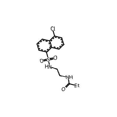 CCC(=O)NCCNS(=O)(=O)c1cccc2c(Cl)cccc12